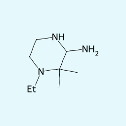 CCN1CCNC(N)C1(C)C